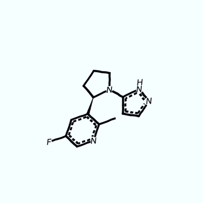 Cc1ncc(F)cc1[C@H]1CCCN1c1ccn[nH]1